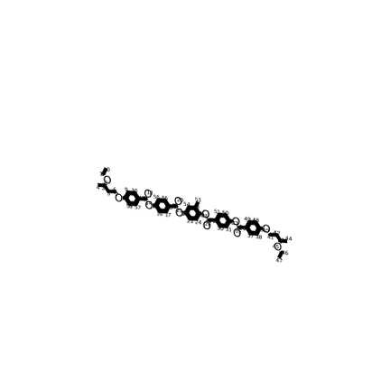 CCOC(C)CCOc1ccc(C(=O)Oc2ccc(C(=O)Oc3ccc(OC(=O)c4ccc(OC(=O)c5ccc(OCCC(C)OCC)cc5)cc4)c(C)c3)cc2)cc1